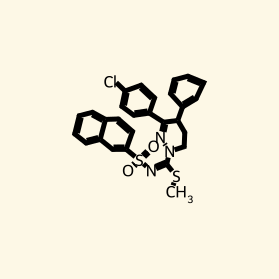 CS/C(=N/S(=O)(=O)c1ccc2ccccc2c1)N1CCC(c2ccccc2)C(c2ccc(Cl)cc2)=N1